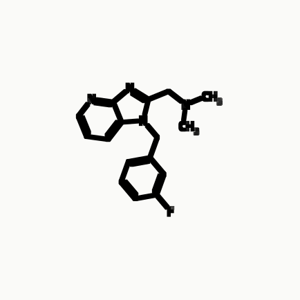 CN(C)Cc1nc2ncccc2n1Cc1cccc(F)c1